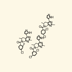 Cc1nc2c(c(-c3ccn[nH]3)n1)CC(C)N(C(=O)c1cc(Cl)ccc1Cl)C2.Cc1nc2c(c(-c3ccn[nH]3)n1)CC(C)N(C(=O)c1ccc(Cl)cc1F)C2.Cc1nc2c(c(-c3ccn[nH]3)n1)C[C@H](C)N(C(=O)c1ccc(Cl)cc1Cl)C2